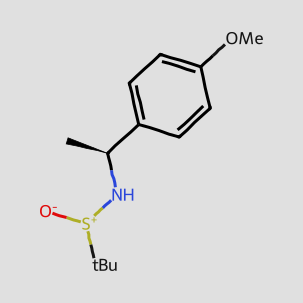 COc1ccc([C@H](C)N[S+]([O-])C(C)(C)C)cc1